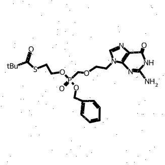 CC(C)(C)C(=O)SCCOP(=O)(COCCn1cnc2c(=O)[nH]c(N)nc21)OCc1ccccc1